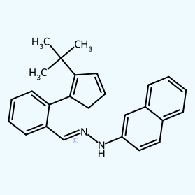 CC(C)(C)C1=C(c2ccccc2/C=N/Nc2ccc3ccccc3c2)CC=C1